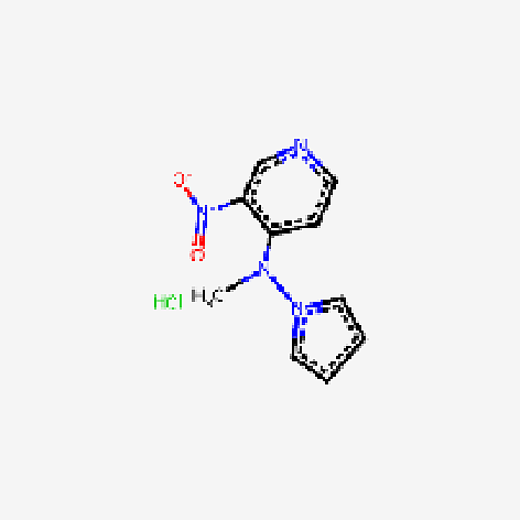 CN(c1ccncc1[N+](=O)[O-])n1cccc1.Cl